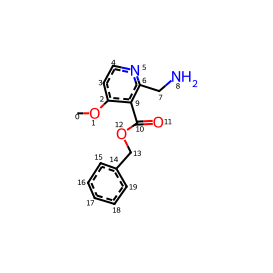 COc1ccnc(CN)c1C(=O)OCc1ccccc1